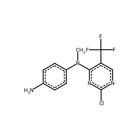 CN(c1ccc(N)cc1)c1nc(Cl)ncc1C(F)(F)F